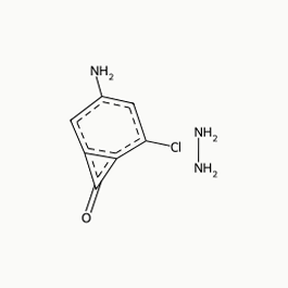 NN.Nc1cc(Cl)c2c(=O)c2c1